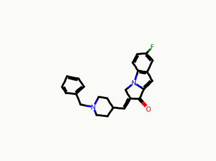 O=C1C(=CC2CCN(Cc3ccccc3)CC2)Cn2c1cc1cc(F)ccc12